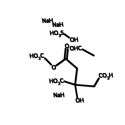 CC=O.O=C(O)CC(O)(CC(=O)OC(=O)O)C(=O)O.O=S(=O)(O)O.[NaH].[NaH].[NaH]